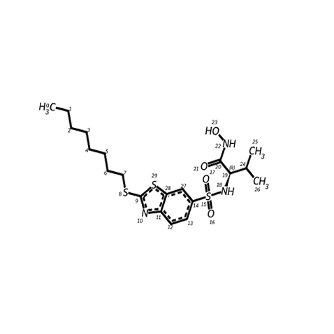 CCCCCCCCSc1nc2ccc(S(=O)(=O)N[C@@H](C(=O)NO)C(C)C)cc2s1